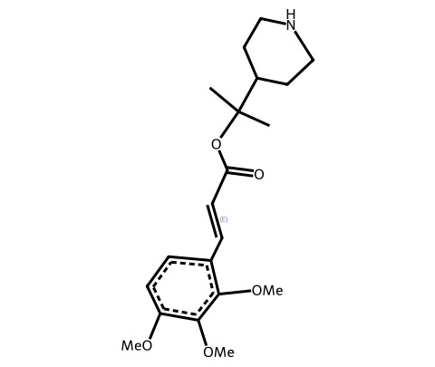 COc1ccc(/C=C/C(=O)OC(C)(C)C2CCNCC2)c(OC)c1OC